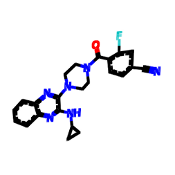 N#Cc1ccc(C(=O)N2CCN(c3nc4ccccc4nc3NC3CC3)CC2)c(F)c1